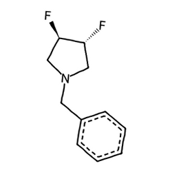 F[C@@H]1CN(Cc2ccccc2)C[C@H]1F